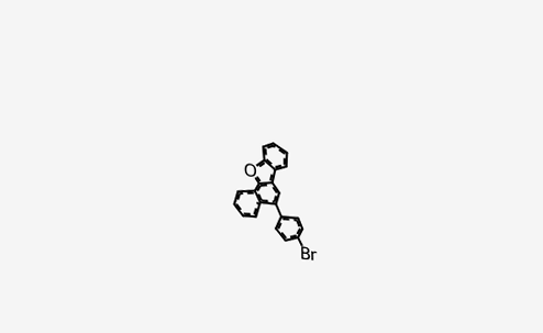 Brc1ccc(-c2cc3c4ccccc4oc3c3ccccc23)cc1